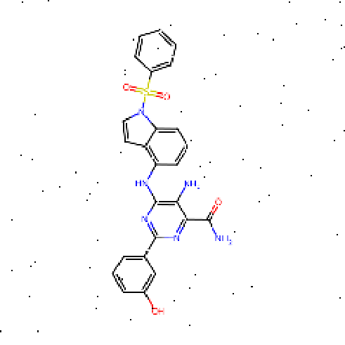 NC(=O)c1nc(-c2cccc(O)c2)nc(Nc2cccc3c2ccn3S(=O)(=O)c2ccccc2)c1N